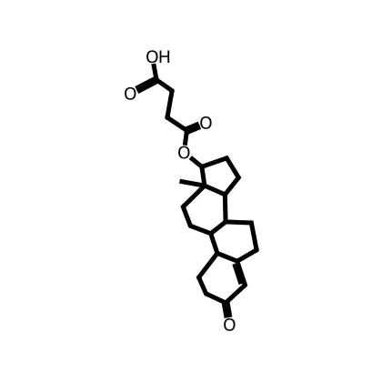 CC12CCC3C4CCC(=O)C=C4CCC3C1CCC2OC(=O)CCC(=O)O